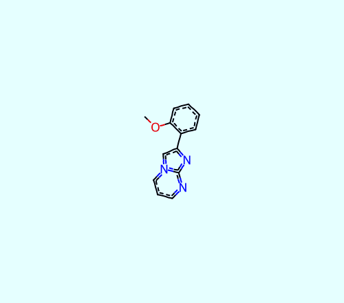 COc1ccccc1-c1cn2cccnc2n1